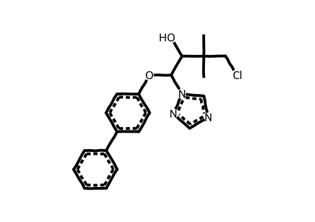 CC(C)(CCl)C(O)C(Oc1ccc(-c2ccccc2)cc1)n1cncn1